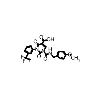 COc1ccc(CNC(=O)n2cc(C(=O)O)c(=O)n(-c3cccc(C(F)(F)F)c3)c2=O)cc1